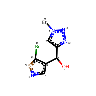 CCn1cc(C(O)c2cnsc2Br)nn1